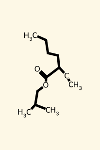 CCCCC(CC)C(=O)OCC(C)C